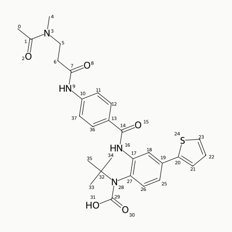 CC(=O)N(C)CCC(=O)Nc1ccc(C(=O)Nc2cc(-c3cccs3)ccc2N(C(=O)O)C(C)(C)C)cc1